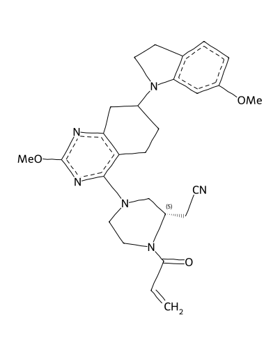 C=CC(=O)N1CCN(c2nc(OC)nc3c2CCC(N2CCc4ccc(OC)cc42)C3)C[C@@H]1CC#N